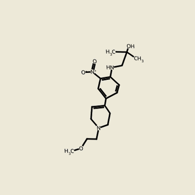 COCCN1CC=C(c2ccc(NCC(C)(C)O)c([N+](=O)[O-])c2)CC1